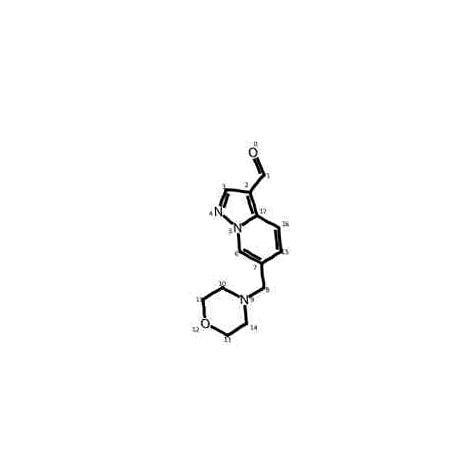 O=Cc1cnn2cc(CN3CCOCC3)ccc12